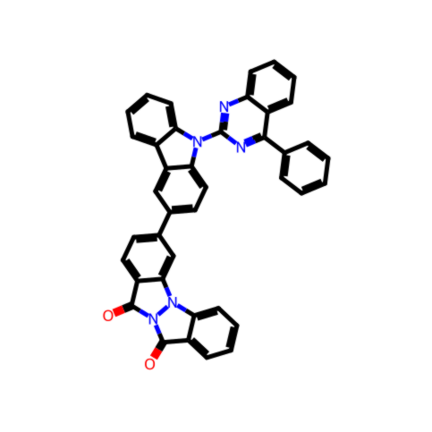 O=c1c2ccccc2n2c3cc(-c4ccc5c(c4)c4ccccc4n5-c4nc(-c5ccccc5)c5ccccc5n4)ccc3c(=O)n12